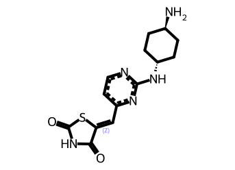 N[C@H]1CC[C@H](Nc2nccc(/C=C3\SC(=O)NC3=O)n2)CC1